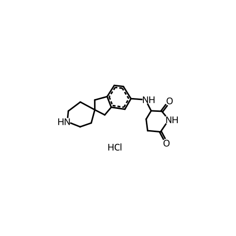 Cl.O=C1CCC(Nc2ccc3c(c2)CC2(CCNCC2)C3)C(=O)N1